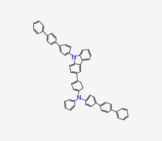 C1=C(c2ccc3c(c2)c2ccccc2n3-c2ccc(-c3ccc(-c4ccccc4)cc3)cc2)CCC(N(c2ccccc2)c2ccc(-c3ccc(-c4ccccc4)cc3)cc2)=C1